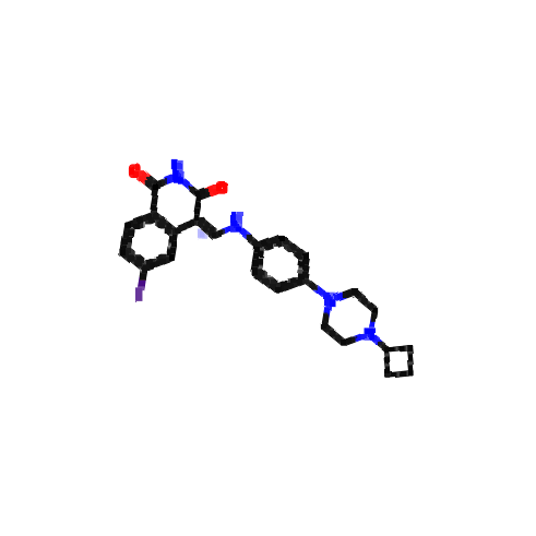 O=C1NC(=O)c2ccc(I)cc2/C1=C/Nc1ccc(N2CCN(C3CCC3)CC2)cc1